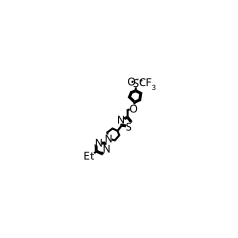 CCc1cnc(N2CCC(c3nc(COc4ccc([S+]([O-])C(F)(F)F)cc4)cs3)CC2)nc1